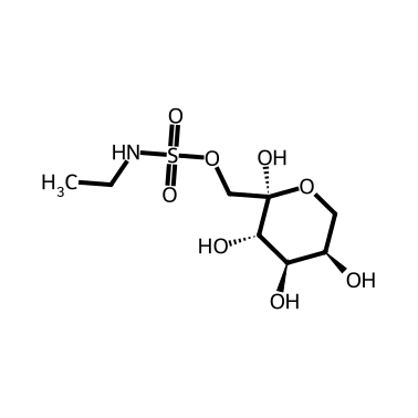 CCNS(=O)(=O)OC[C@@]1(O)OC[C@@H](O)[C@@H](O)[C@@H]1O